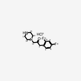 Cl.O=C(Cc1ccc(F)cc1F)CN1CCNCC1